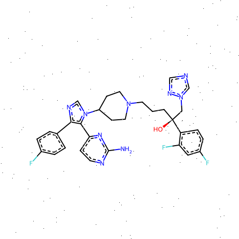 Nc1nccc(-c2c(-c3ccc(F)cc3)ncn2C2CCN(CCC[C@](O)(Cn3cncn3)c3ccc(F)cc3F)CC2)n1